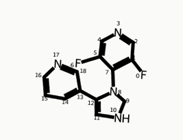 Fc1cncc(F)c1N1CNC=C1c1cccnc1